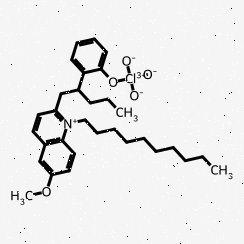 CCCCCCCCCC[n+]1c(CC(CCC)c2ccccc2O[Cl+3]([O-])([O-])[O-])ccc2cc(OC)ccc21